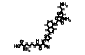 N#C/C(=C\c1ccc(-c2ccc3c(c2)CCCN3CCC(=O)C(N)(CCCCN)C(=O)O)s1)C(=O)NCCCCC(N)C(=O)O